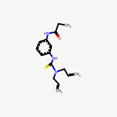 C=CCN(CC=C)C(=S)Nc1cccc(NC(=O)CC)c1